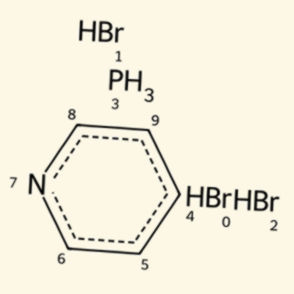 Br.Br.Br.P.c1ccncc1